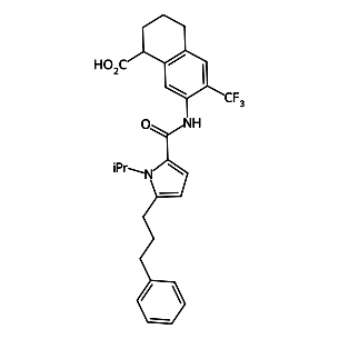 CC(C)n1c(CCCc2ccccc2)ccc1C(=O)Nc1cc2c(cc1C(F)(F)F)CCCC2C(=O)O